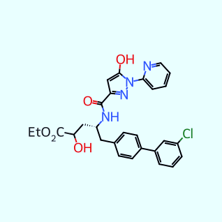 CCOC(=O)C(O)C[C@@H](Cc1ccc(-c2cccc(Cl)c2)cc1)NC(=O)c1cc(O)n(-c2ccccn2)n1